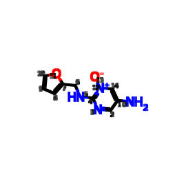 Nc1cnc(NCc2ccco2)[n+]([O-])c1